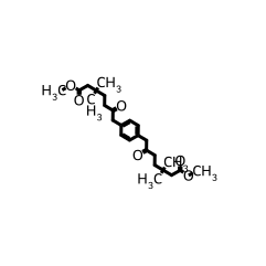 COC(=O)CC(C)(C)CCC(=O)Cc1ccc(CC(=O)CCC(C)(C)CC(=O)OC)cc1